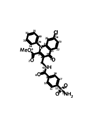 COC(=O)c1c(CNC(=O)c2ccc(S(N)(=O)=O)cc2)c(=O)c2ccc(Cl)cc2n1-c1ccccc1